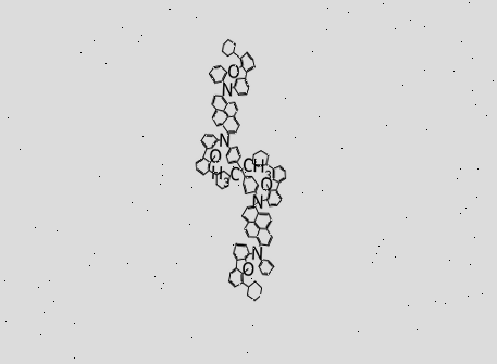 CC(C)(c1ccc(N(c2ccc3ccc4c(N(c5ccccc5)c5cccc6c5oc5c(C7CCCCC7)cccc56)ccc5ccc2c3c54)c2cccc3c2oc2c(C4CCCCC4)cccc23)cc1)c1ccc(N(c2ccc3ccc4c(N(c5ccccc5)c5cccc6c5oc5c(C7CCCCC7)cccc56)ccc5ccc2c3c54)c2cccc3c2oc2c(C4CCCCC4)cccc23)cc1